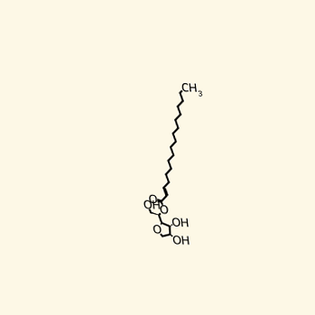 CCCCCCCCCCCCCCCC=CC(=O)O[C@H](CO)[C@H]1OC[C@H](O)[C@H]1O